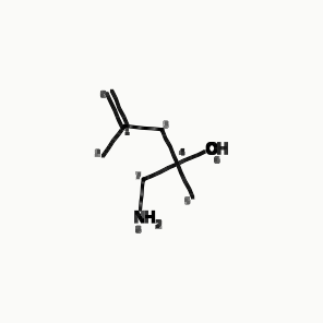 C=C(C)CC(C)(O)CN